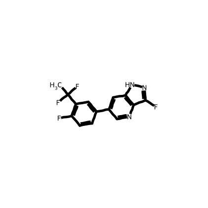 CC(F)(F)c1cc(-c2cnc3c(F)n[nH]c3c2)ccc1F